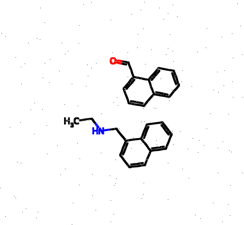 CCNCc1cccc2ccccc12.O=Cc1cccc2ccccc12